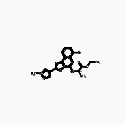 CCOC(=O)[C@@H](C)Nc1nc2c(Br)cccc2c2nc(-c3cnn(C)c3)nn12